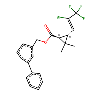 CC1(C)[C@@H](C=C(Br)C(F)(F)F)[C@@H]1C(=O)OCc1cccc(-c2ccccc2)c1